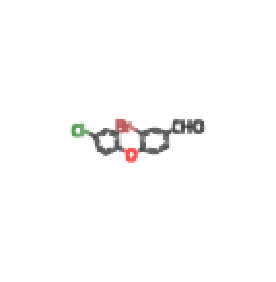 O=Cc1ccc(Oc2ccc(Cl)cc2)c(Br)c1